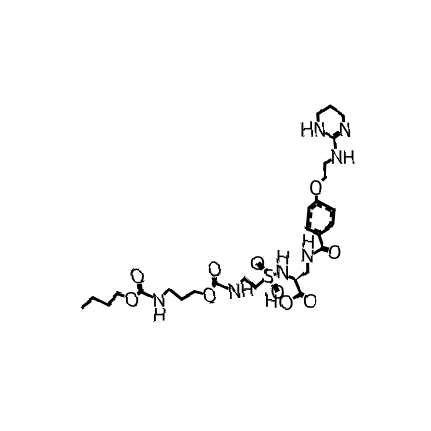 CCCCOC(=O)NCCCOC(=O)NCCS(=O)(=O)N[C@@H](CNC(=O)c1ccc(OCCNC2=NCCCN2)cc1)C(=O)O